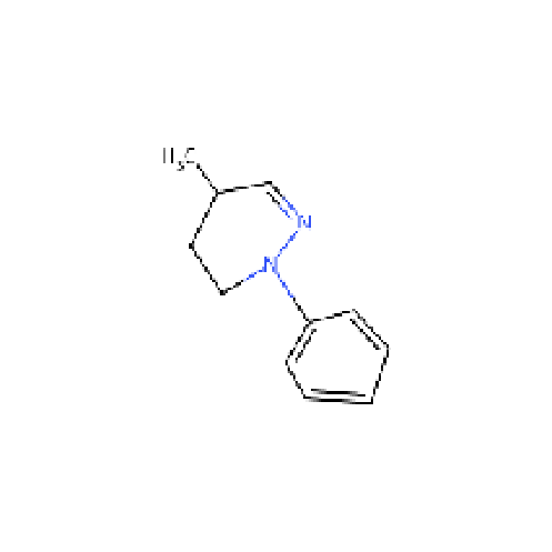 CC1C=NN(c2ccccc2)CC1